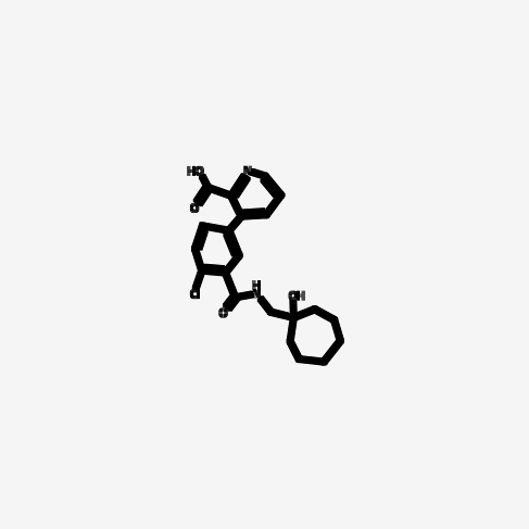 O=C(NCC1(O)CCCCCC1)c1cc(-c2cccnc2C(=O)O)ccc1Cl